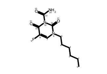 CCCCCCn1cc(F)c(=O)n(C(N)=O)c1=O